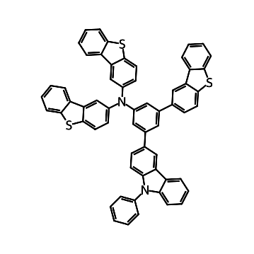 c1ccc(-n2c3ccccc3c3cc(-c4cc(-c5ccc6sc7ccccc7c6c5)cc(N(c5ccc6sc7ccccc7c6c5)c5ccc6sc7ccccc7c6c5)c4)ccc32)cc1